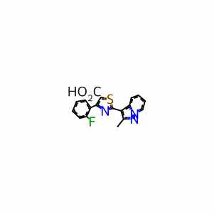 Cc1nn2ccccc2c1-c1nc(-c2ccccc2F)c(C(=O)O)s1